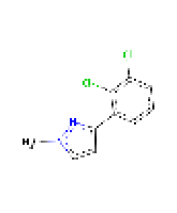 Cn1[c]cc(-c2cccc(Cl)c2Cl)n1